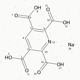 O=C(O)c1cc(C(=O)O)c(C(=O)O)nc1C(=O)O.[Na]